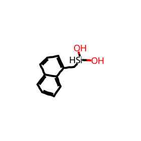 O[SiH](O)Cc1cccc2ccccc12